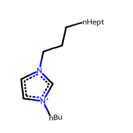 CCCCCCCCCCn1cc[n+](CCCC)c1